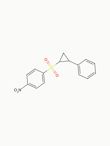 O=[N+]([O-])c1ccc(S(=O)(=O)C2CC2c2ccccc2)cc1